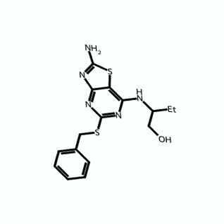 CCC(CO)Nc1nc(SCc2ccccc2)nc2nc(N)sc12